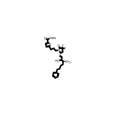 COC(=O)c1ccc(CCCN2C(=O)C(F)(F)C[C@@H]2C=CC(O)[C@@H](C)CCCCc2ccccc2)s1